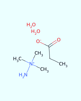 CCC(=O)[O-].C[N+](C)(C)N.O.O